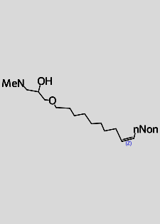 CCCCCCCCC/C=C\CCCCCCCCOCC(O)CNC